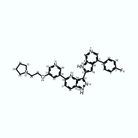 Fc1ccc(-c2cncc3[nH]c(-c4n[nH]c5ccc(-c6cncc(OCCN7CCCC7)c6)nc45)cc23)cc1